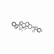 C[C@]12CC[C@H](NC(=O)c3ccncc3)CC1=CCC1C2CC[C@]2(C)C(n3cnc4ccccc43)=CCC12